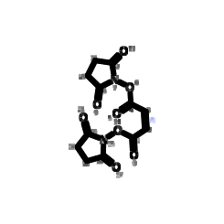 O=C(/C=C\C(=O)ON1C(=O)CCC1=O)ON1C(=O)CCC1=O